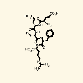 CC(C)C[C@H](NC(=O)[C@H](CCC(=O)O)NC(=O)[C@@H](N)CCC(=O)O)C(=O)N[C@@H](Cc1ccccc1)C(=O)N[C@@H](CCCN=C(N)N)C(=O)O